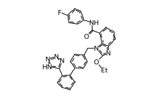 CCOc1nc2cccc(C(=O)Nc3ccc(F)cc3)c2n1Cc1ccc(-c2ccccc2-c2nnn[nH]2)cc1